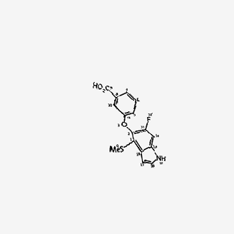 CSc1c(Oc2cccc(C(=O)O)c2)c(F)cc2[nH]ccc12